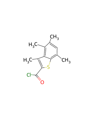 Cc1cc(C)c2sc(C(=O)Cl)c(C)c2c1C